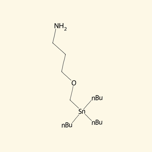 CCC[CH2][Sn]([CH2]CCC)([CH2]CCC)[CH2]OCCCN